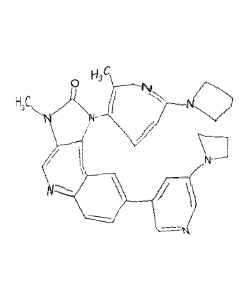 Cc1nc(N2CCC2)ccc1-n1c(=O)n(C)c2cnc3ccc(-c4cncc(N5CCC5)c4)cc3c21